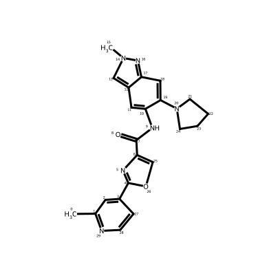 Cc1cc(-c2nc(C(=O)Nc3cc4cn(C)nc4cc3N3CCCC3)co2)ccn1